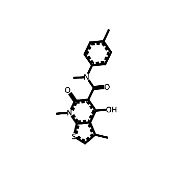 Cc1ccc(N(C)C(=O)c2c(O)c3c(C)csc3n(C)c2=O)cc1